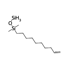 C=CCCCCCCCC[Si](C)(C)O[SiH3]